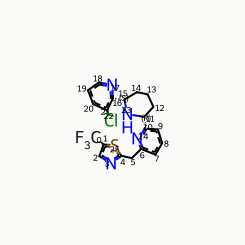 FC(F)(F)c1cnc(Cc2cccc([C@H]3CCC[C@@H](c4ncccc4Cl)N3)n2)s1